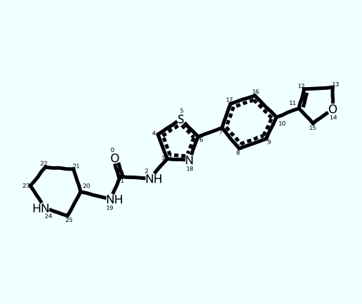 O=C(Nc1csc(-c2ccc(C3=CCOC3)cc2)n1)NC1CCCNC1